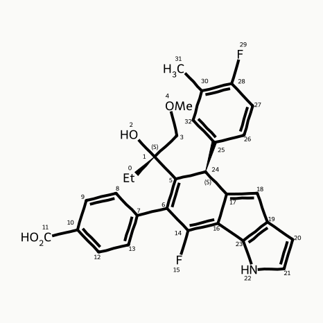 CC[C@@](O)(COC)C1=C(c2ccc(C(=O)O)cc2)C(F)=C2C(=Cc3cc[nH]c32)[C@@H]1c1ccc(F)c(C)c1